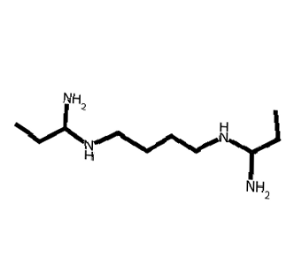 CCC(N)NCCCCNC(N)CC